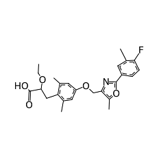 CCOC(Cc1c(C)cc(OCc2nc(-c3ccc(F)c(C)c3)oc2C)cc1C)C(=O)O